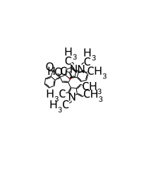 C/C=c1/c(/C(=C/C2(c3ccc(N(CC)CC)cc3)OC(=O)c3ccccc32)c2c(C)n(CC)c3ccccc23)c(C)n(CC)/c1=C/C